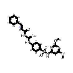 COc1cc(NS(=O)(=O)c2ccc(NC(=S)NC(=O)/C=C/c3ccccc3)cc2)nc(OC)n1